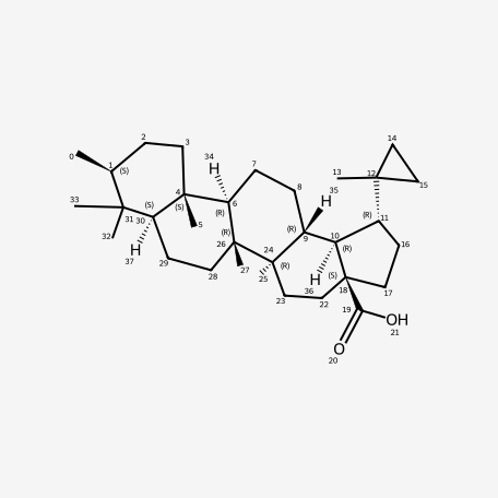 C[C@H]1CC[C@]2(C)[C@H]3CC[C@@H]4[C@H]5[C@H](C6(C)CC6)CC[C@]5(C(=O)O)CC[C@@]4(C)[C@]3(C)CC[C@H]2C1(C)C